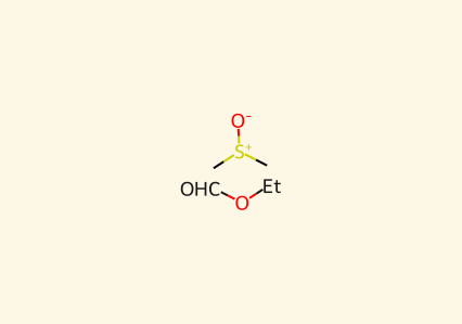 CCOC=O.C[S+](C)[O-]